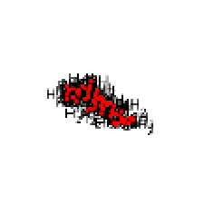 CC(C)C[C@H](NC(=O)[C@H](Cc1ccc(O)cc1)NC(=O)[C@H](CCCCN)NC(=O)[C@H](CCCCN)NC(=O)[C@@H](NC(=O)C(C)(C)NC(=O)[C@H](CC(C)C)NC(=O)[C@H](CCC(N)=O)NC(=O)[C@H](CCCCN)NC(=O)[C@H](CCCNC(=N)N)NC(=O)[C@H](CC(C)C)NC(=O)[C@H](CCCNC(=N)N)NC(=O)[C@@H](NC(=O)[C@H](Cc1ccc(O)cc1)NC(=O)[C@H](CC(N)=O)NC(=O)[C@@H](N)CC(=O)O)[C@@H](C)O)C(C)C)C(N)=O